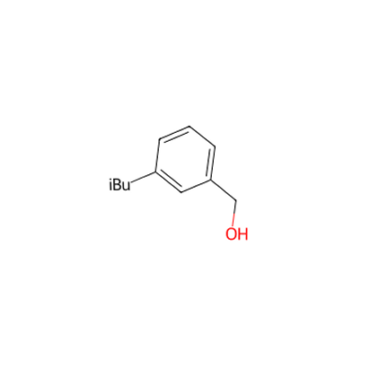 CCC(C)c1cccc(CO)c1